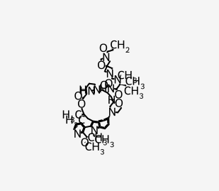 C=CC(=O)N1COC2(C1)CN(C(=O)N(C)[C@H](C(=O)N[C@H]1C[C@H]3CN(CCO3)c3ccc4c(c3)c(c(-c3cccnc3[C@H](C)OC)n4CC)CC(C)(C)COC(=O)[C@@H]3CCCN(N3)C1=O)C(C)C)C2